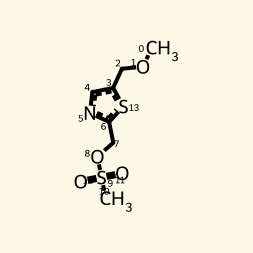 COCc1cnc(COS(C)(=O)=O)s1